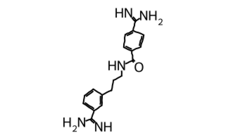 N=C(N)c1ccc(C(=O)NCCCc2cccc(C(=N)N)c2)cc1